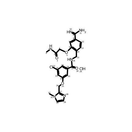 CNC(=O)COc1cc(C(=N)N)ccc1CNC(=O)c1cc(Cl)cc(OCc2nccn2C)c1.Cl